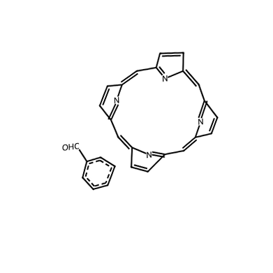 C1=CC2=NC1=CC1=NC(=CC3=NC(=CC4=NC(=C2)C=C4)C=C3)C=C1.O=Cc1ccccc1